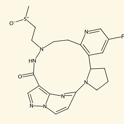 C[S+]([O-])CCN1CCc2ncc(F)cc2C2CCCN2c2ccn3ncc(c3n2)C(=O)N1